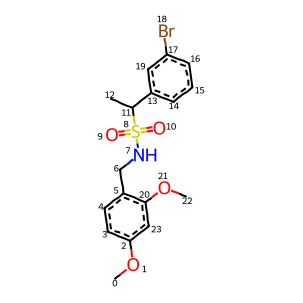 COc1ccc(CNS(=O)(=O)C(C)c2cccc(Br)c2)c(OC)c1